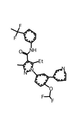 CCc1c(C(=O)Nc2cccc(C(C)(F)F)c2)c(C)nn1-c1ccc(OC(F)F)c(-c2cccnc2)c1